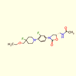 CCOCC1(F)CCN(c2ccc(N3C[C@H](CNC(C)=O)OC3=O)cc2F)CC1